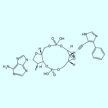 Nc1ncnc2c1ncn2[C@@H]1O[C@@H]2COP(=O)(O)O[C@@H]3[C@H](O)[C@@H](COP(=O)(O)O[C@H]2[C@H]1F)O[C@H]3C#Cc1[nH]cnc1-c1ccccc1